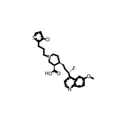 COc1ccc2nccc([C@@H](F)CC[C@@H]3CCN(CCCc4sccc4Cl)C[C@@H]3C(=O)O)c2c1